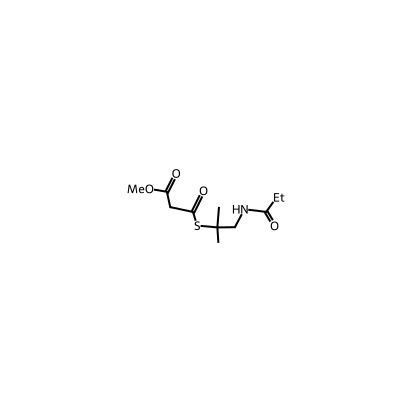 CCC(=O)NCC(C)(C)SC(=O)CC(=O)OC